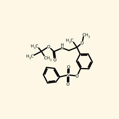 COC(C)(CNC(=O)OC(C)(C)C)c1cccc(OS(=O)(=O)c2ccccc2)c1